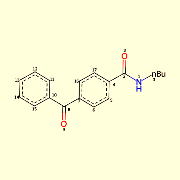 CCCCNC(=O)c1ccc(C(=O)c2ccccc2)cc1